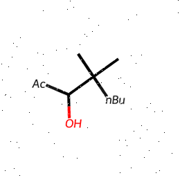 CCCCC(C)(C)C(O)C(C)=O